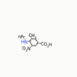 CCCNc1c(C)cc(C(=O)O)cc1[N+](=O)[O-]